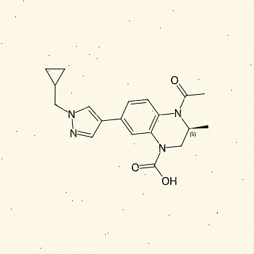 CC(=O)N1c2ccc(-c3cnn(CC4CC4)c3)cc2N(C(=O)O)C[C@@H]1C